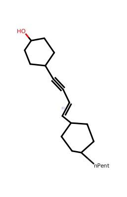 CCCCCC1CCC(/C=C/C#CC2CCC(O)CC2)CC1